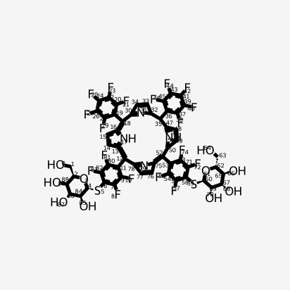 OC[C@H]1O[C@H](Sc2c(F)c(F)c(/C3=c4\cc/c([nH]4)=C(\c4c(F)c(F)c(F)c(F)c4F)C4=NC(C=C4)C(c4c(F)c(F)c(F)c(F)c4F)c4ccc([nH]4)/C(c4c(F)c(F)c(S[C@H]5O[C@H](CO)[C@@H](O)[C@H](O)[C@@H]5O)c(F)c4F)=C4/C=CC3=N4)c(F)c2F)[C@@H](O)[C@@H](O)C1O